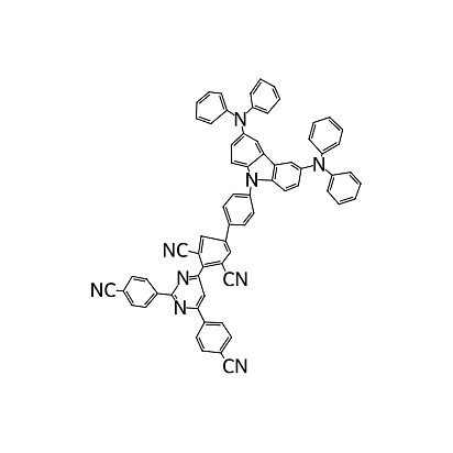 N#Cc1ccc(-c2cc(-c3c(C#N)cc(-c4ccc(-n5c6ccc(N(c7ccccc7)c7ccccc7)cc6c6cc(N(c7ccccc7)c7ccccc7)ccc65)cc4)cc3C#N)nc(-c3ccc(C#N)cc3)n2)cc1